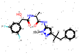 C[C@H](NC(=O)[C@@H](O)c1cc(F)cc(F)c1)C(=O)Nc1cc(C(C)(C)Cc2ccccc2)nn1C(C)(C)C